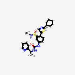 CC(NC(=O)Nc1ccc(-c2cnc(C3CCCCC3)s2)c([S+]([O-])NC(C)(C)C)c1)c1ccccn1